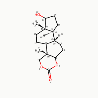 C[C@]12COC(=O)OC1CC[C@@H]1C2CC[C@]2(C)C(O)CC[C@@H]12